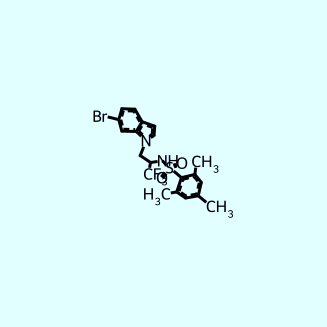 Cc1cc(C)c(S(=O)(=O)NC(Cn2ccc3ccc(Br)cc32)C(F)(F)F)c(C)c1